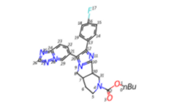 CCCCOC(=O)N1CCC2Cn3c(nc(-c4ccc(F)cc4)c3-c3ccc4ncnn4c3)C2C1